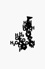 CC(C)N(C(=O)c1cc(F)ccc1Oc1cncnc1N1CC2(CCN(C(=O)[C@H]3N[C@H]4CC[C@H]3C[C@H]4CC3CC3)CC2)C1)C(C)C